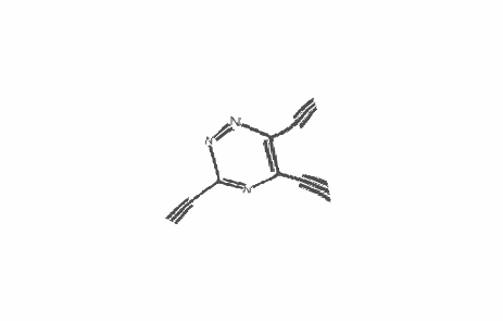 C#Cc1nnc(C#C)c(C#C)n1